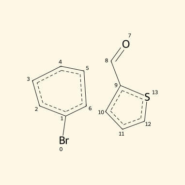 Brc1ccccc1.O=Cc1cccs1